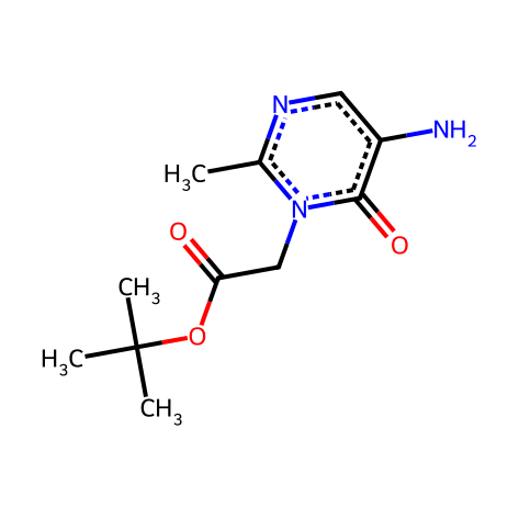 Cc1ncc(N)c(=O)n1CC(=O)OC(C)(C)C